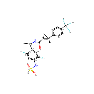 C[C@@H](NC(=O)[C@H]1C[C@]1(C)c1ccc(C(F)(F)F)cc1)c1cc(F)c(NS(C)(=O)=O)cc1F